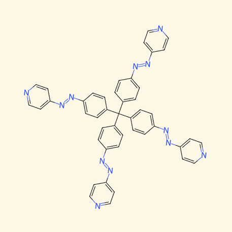 c1cc(/N=N/c2ccc(C(c3ccc(/N=N/c4ccncc4)cc3)(c3ccc(/N=N/c4ccncc4)cc3)c3ccc(/N=N/c4ccncc4)cc3)cc2)ccn1